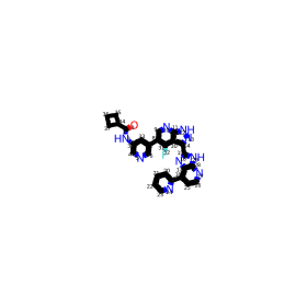 O=C(Nc1cncc(-c2cnc3[nH]nc(-c4nc5c(-c6ccccn6)ccnc5[nH]4)c3c2F)c1)C1CCC1